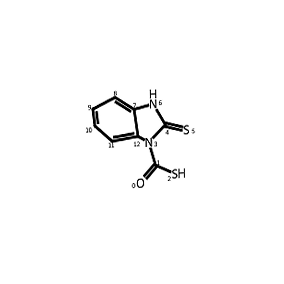 O=C(S)n1c(=S)[nH]c2ccccc21